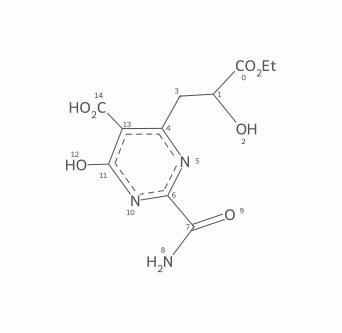 CCOC(=O)C(O)Cc1nc(C(N)=O)nc(O)c1C(=O)O